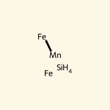 [Fe].[Mn][Fe].[SiH4]